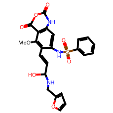 COc1c(/C=C/C(O)NCc2ccco2)c(NS(=O)(=O)c2ccccc2)cc2[nH]c(=O)oc(=O)c12